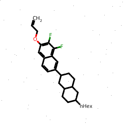 C=CCOc1cc2ccc(C3CCC4CC(CCCCCC)CCC4C3)cc2c(F)c1F